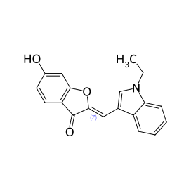 CCn1cc(/C=C2\Oc3cc(O)ccc3C2=O)c2ccccc21